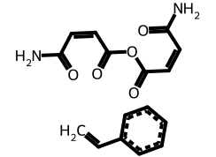 C=Cc1ccccc1.NC(=O)/C=C\C(=O)OC(=O)/C=C\C(N)=O